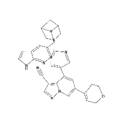 N#Cc1cnn2cc(C3=CCOCC3)cc(-c3cnc(N4CC5CC(C4)N5Cc4cnc5[nH]ccc5c4)nc3)c12